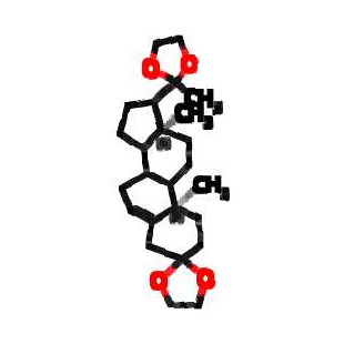 CC1(C2CCC3C4CC=C5CC6(CC[C@]5(C)C4CC[C@@]32C)OCCO6)OCCO1